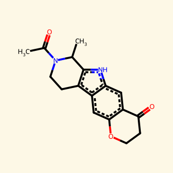 CC(=O)N1CCc2c([nH]c3cc4c(cc23)OCCC4=O)C1C